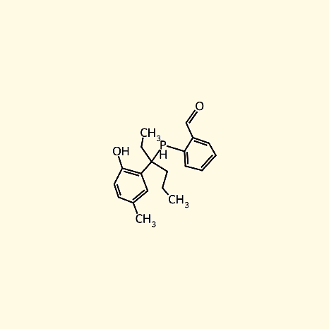 CCCC(CC)(Pc1ccccc1C=O)c1cc(C)ccc1O